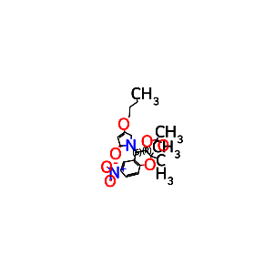 CCCCOC1=CC(=O)N([C@H]2c3cc([N+](=O)[O-])ccc3OC(C)(C)[C@@H]2OC(C)=O)C1